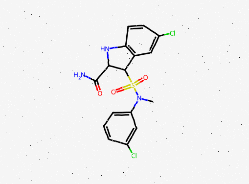 CN(c1cccc(Cl)c1)S(=O)(=O)C1c2cc(Cl)ccc2NC1C(N)=O